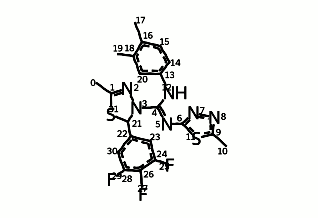 CC1=NN(/C(=N/c2nnc(C)s2)Nc2ccc(C)c(C)c2)C(c2cc(F)c(F)c(F)c2)S1